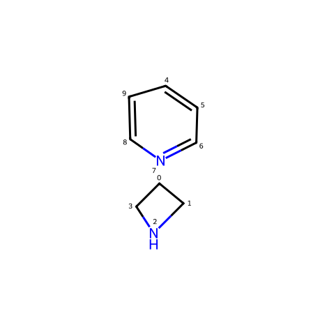 C1CNC1.c1ccncc1